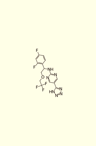 Fc1ccc(C(COCC(F)(F)F)Nc2ncc(-c3nnn[nH]3)cn2)c(F)c1